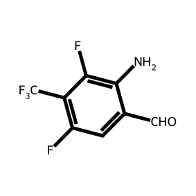 Nc1c(C=O)cc(F)c(C(F)(F)F)c1F